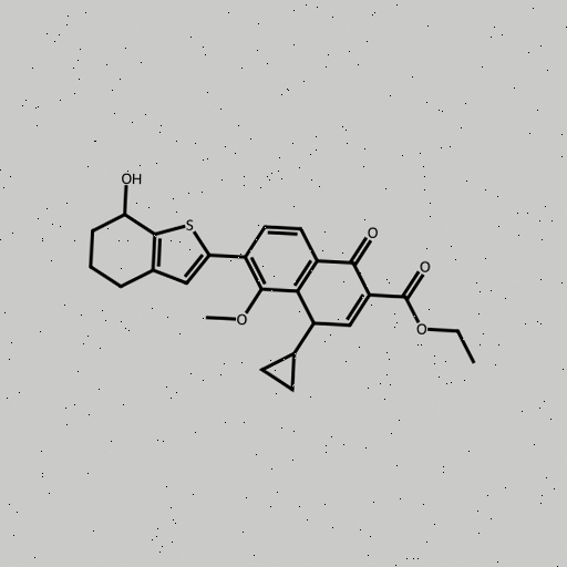 CCOC(=O)C1=CC(C2CC2)c2c(ccc(-c3cc4c(s3)C(O)CCC4)c2OC)C1=O